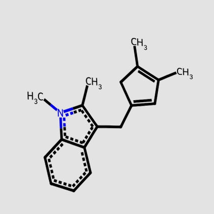 CC1=C(C)CC(Cc2c(C)n(C)c3ccccc23)=C1